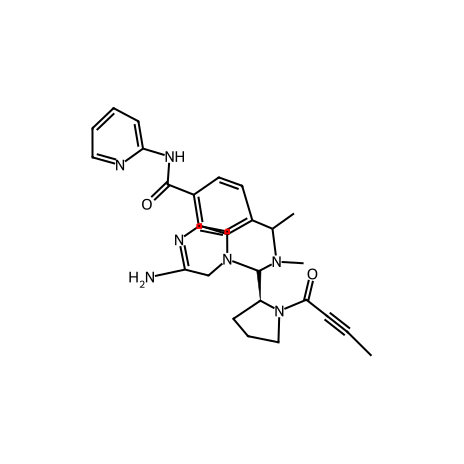 CC#CC(=O)N1CCC[C@H]1C(N1C=CN=C(N)C1)N(C)C(C)c1ccc(C(=O)Nc2ccccn2)cc1